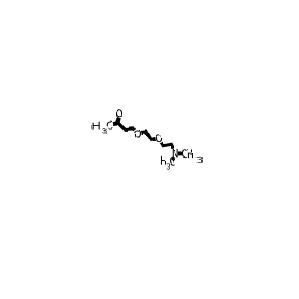 CC(=O)CCOCCOCCN(C)C